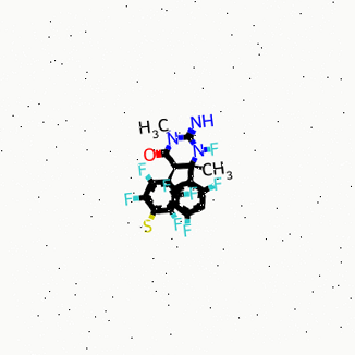 CN1C(=N)N(F)[C@](C)(c2c(F)cc(F)cc2F)[C@@H](c2c(F)c(F)c([S])c(F)c2F)C1=O